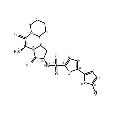 C[C@@H](C(=O)N1CCCCC1)N1CC[C@@H](NS(=O)(=O)c2ccc(-c3ccc(Cl)s3)s2)C1=O